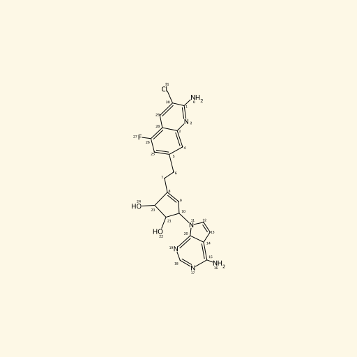 Nc1nc2cc(CCC3=CC(n4ccc5c(N)ncnc54)C(O)C3O)cc(F)c2cc1Cl